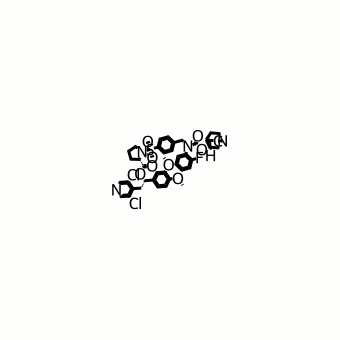 COc1ccc([C@H](Cc2c(Cl)cncc2Cl)OC(=O)[C@@H]2CCCN2S(=O)(=O)c2ccc(CN(C(=O)O[C@H]3CN4CCC3CC4)c3ccccc3F)cc2)cc1OC